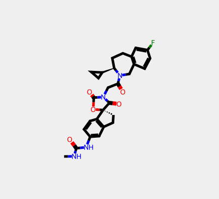 CNC(=O)Nc1ccc2c(c1)CC[C@@]21OC(=O)N(CC(=O)N2Cc3ccc(F)cc3CC[C@@H]2C2CC2)C1=O